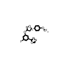 Fc1cc(OC2=NO[C@H](c3ccc(OC(F)(F)F)cc3)C2)cc(-c2nnco2)c1